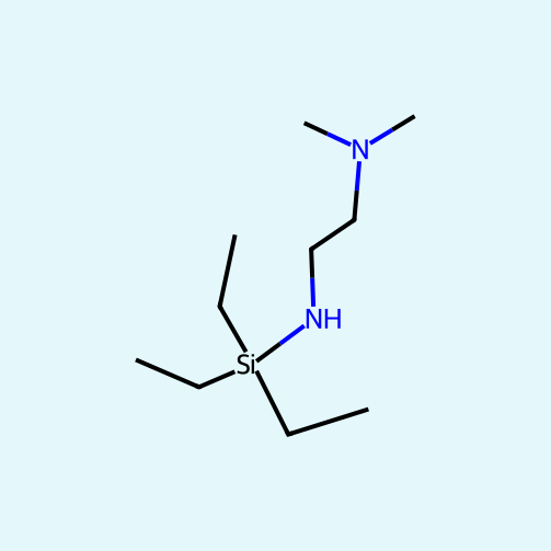 CC[Si](CC)(CC)NCCN(C)C